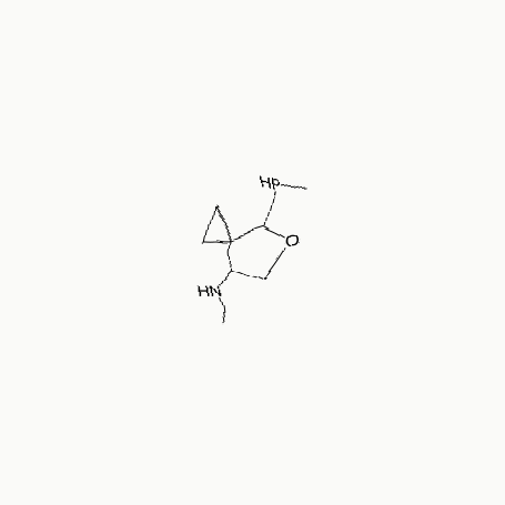 CNC1COC(PC)C12CC2